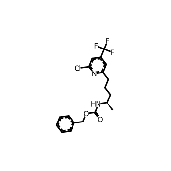 C[C@H](CCCc1cc(C(F)(F)F)cc(Cl)n1)NC(=O)OCc1ccccc1